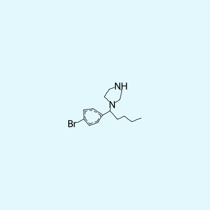 CCCCC(c1ccc(Br)cc1)N1CCNCC1